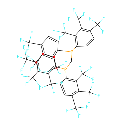 FC(F)(F)c1ccc(P(CP(c2ccc(C(F)(F)F)c(C(F)(F)F)c2C(F)(F)F)c2ccc(C(F)(F)F)c(C(F)(F)F)c2C(F)(F)F)c2ccc(C(F)(F)F)c(C(F)(F)F)c2C(F)(F)F)c(C(F)(F)F)c1C(F)(F)F